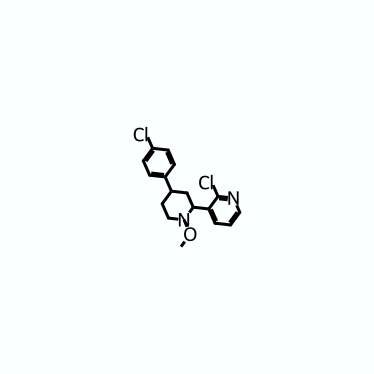 CON1CCC(c2ccc(Cl)cc2)CC1c1cccnc1Cl